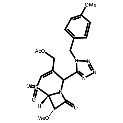 COc1ccc(Cn2nnnc2C2C(COC(C)=O)=CS(=O)(=O)[C@H]3[C@@H](OC)C(=O)N23)cc1